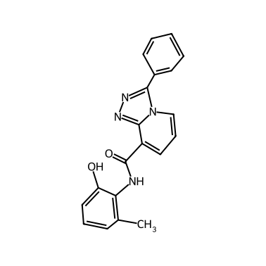 Cc1cccc(O)c1NC(=O)c1cccn2c(-c3ccccc3)nnc12